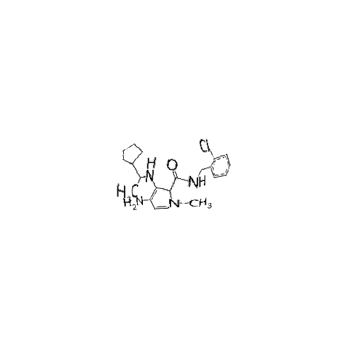 CC(NC1=C(N)C=CN(C)C1C(=O)NCc1ccccc1Cl)C1CCCC1